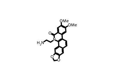 COc1cc2c(=O)n(CCN)c3c4cc5c(cc4ccc3c2cc1OC)OCO5